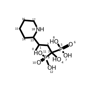 CC(CC(O)(P(=O)(O)O)P(=O)(O)O)C1CCCCN1